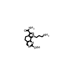 CSc1ncc2c(n1)-c1c(c(C(N)=O)nn1CCCN)CC2